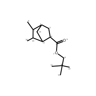 CC1C2CC(C(=O)OCC(C)(C)C)C(C2)C1C